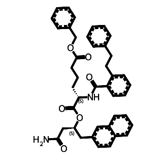 NC(=O)C[C@H](Cc1ccc2ccccc2c1)OC(=O)[C@H](CCCC(=O)OCc1ccccc1)NC(=O)c1ccccc1CCc1ccccc1